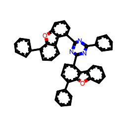 c1ccc(-c2nc(-c3cccc4oc5c(-c6ccccc6)cccc5c34)nc(-c3ccc(-c4ccccc4)c4oc5ccccc5c34)n2)cc1